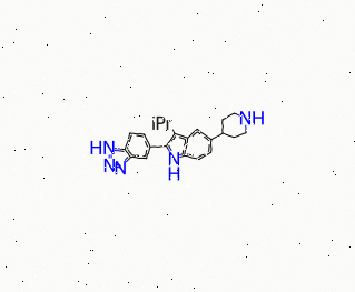 CC(C)c1c(-c2ccc3[nH]nnc3c2)[nH]c2ccc(C3CCNCC3)cc12